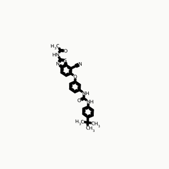 CC(=O)Nc1nc2ccc(Oc3cccc(NC(=O)Nc4ccc(C(C)(C)C)cc4)c3)c(C#N)c2s1